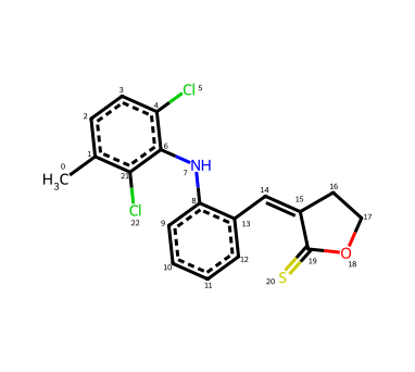 Cc1ccc(Cl)c(Nc2ccccc2C=C2CCOC2=S)c1Cl